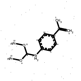 C=C(C)c1ccc([SiH2]C(OCCC)OCCC)cc1